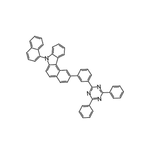 c1ccc(-c2nc(-c3ccccc3)nc(-c3cccc(-c4ccc5ccc6c(c5c4)c4ccccc4n6-c4cccc5ccccc45)c3)n2)cc1